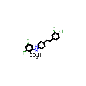 O=C(O)c1c(F)cc(F)cc1Nc1ccc(CCc2ccc(Cl)c(Cl)c2)cc1